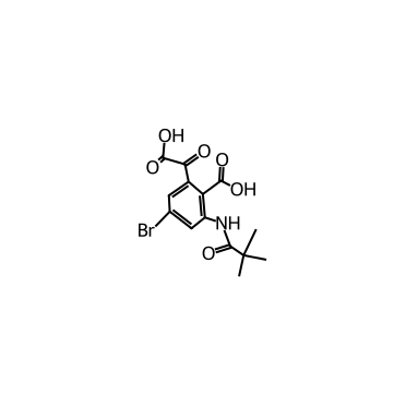 CC(C)(C)C(=O)Nc1cc(Br)cc(C(=O)C(=O)O)c1C(=O)O